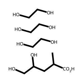 CC(CC(O)CO)C(=O)O.OCCO.OCCO.OCCO